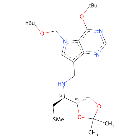 CCCCOCn1cc(CN[C@H](CSC)[C@@H]2COC(C)(C)O2)c2ncnc(OC(C)(C)C)c21